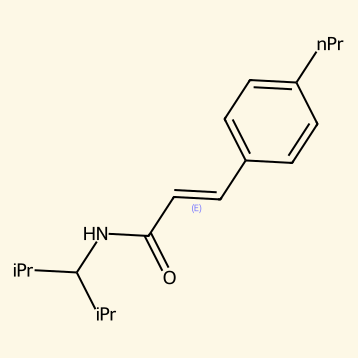 CCCc1ccc(/C=C/C(=O)NC(C(C)C)C(C)C)cc1